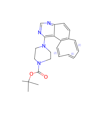 CC(C)(C)OC(=O)N1CCN(c2ncnc3ccc4c(c23)\C=C/C=C/C=C\4)CC1